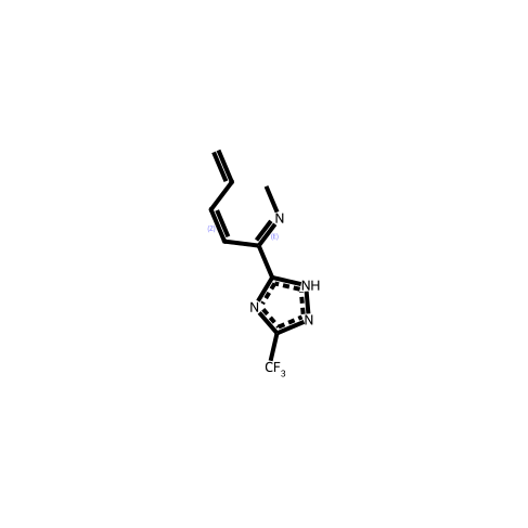 C=C/C=C\C(=N/C)c1nc(C(F)(F)F)n[nH]1